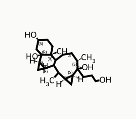 CC1C2C(CC[C@H](C)[C@](O)(CCCO)[C@H]3C[C@@H]13)[C@@]1(C)CC[C@H](O)C[C@@]1(O)[C@@H]1C[C@H]21